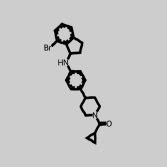 O=C(C1CC1)N1CCC(c2ccc(NC3CCc4cccc(Br)c43)cc2)CC1